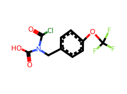 O=C(O)N(Cc1ccc(OC(F)(F)F)cc1)C(=O)Cl